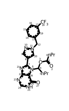 CCCC(=O)OC(CCC)n1c(-c2cnn(Cc3cccc(C(F)(F)F)c3)c2)nc2nc[nH]c(=O)c21